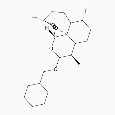 C[C@H]1C(OCC2CCCCC2)O[C@@H]2O[C@]3(C)CCC4[C@H](C)CCC1[C@]42OO3